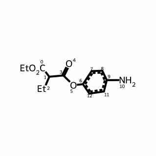 CCOC(=O)C(CC)C(=O)Oc1ccc(N)cc1